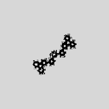 C1=Cc2c(c3c(c4cc(-c5cccc(-c6cc(-c7cccc(-c8ccc9c%10ccccc%10c%10ccccc%10c9c8)c7)ncn6)c5)ccc24)C=CCC3)CC1